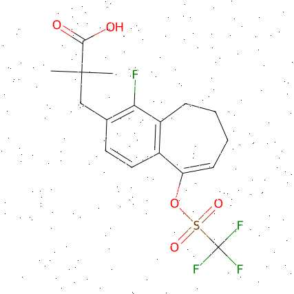 CC(C)(Cc1ccc2c(c1F)CCCC=C2OS(=O)(=O)C(F)(F)F)C(=O)O